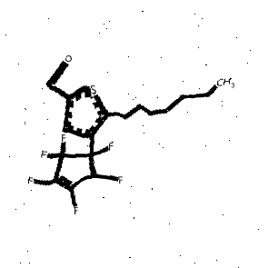 CCCCCCc1sc(C=O)cc1C1(F)C(F)C(F)=C(F)C1(F)F